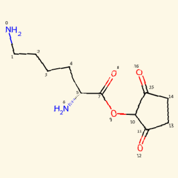 NCCCC[C@@H](N)C(=O)OC1C(=O)CCC1=O